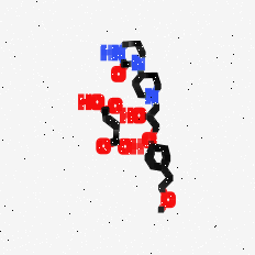 COCCc1ccc(OCC(O)CN2CCC(N3CCCNC3=O)CC2)cc1.O=C(O)C=CC(=O)O